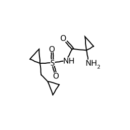 NC1(C(=O)NS(=O)(=O)C2(CC3CC3)CC2)CC1